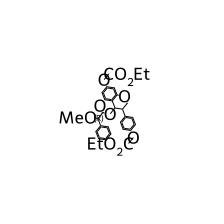 CCOC(=O)Oc1ccc(C2COc3cc(OC(=O)OCC)ccc3C2OC(=O)[C@H](OC)c2ccccc2)cc1